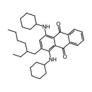 CCCCC(CC)Cc1cc(NC2CCCCC2)c2c(c1NC1CCCCC1)C(=O)c1ccccc1C2=O